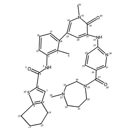 Cc1c(NC(=O)c2cc3c(s2)CCCC3)cccc1-c1cc(Nc2ccc(C(=O)N3CCCN(C)CC3)cn2)c(=O)n(C)c1